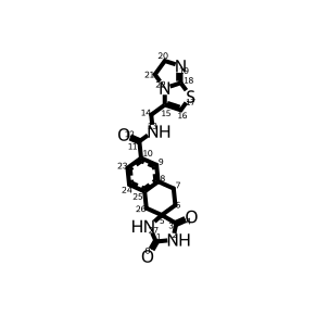 O=C1NC(=O)C2(CCc3cc(C(=O)NCC4=CSC5=NCCN45)ccc3C2)N1